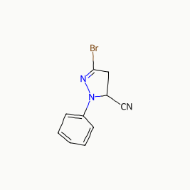 N#CC1CC(Br)=NN1c1ccccc1